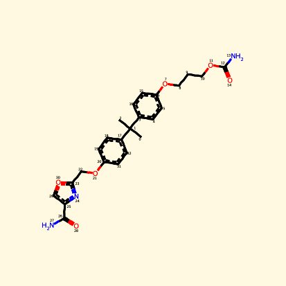 CC(C)(c1ccc(OCCCOC(N)=O)cc1)c1ccc(OCc2nc(C(N)=O)co2)cc1